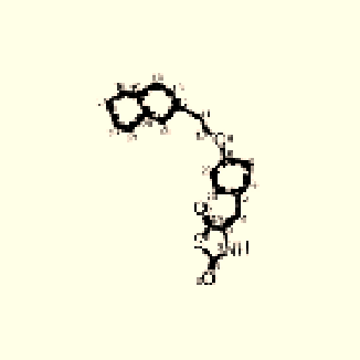 O=C1NC(=Cc2ccc(OCCc3ccc4ccccc4c3)cc2)C(=O)S1